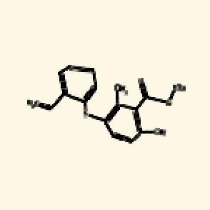 C=Cc1ccccc1Sc1ccc(O)c(C(=O)OCCCC)c1C